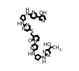 CC(O)c1cnc(N[C@H]2CC[C@H](Nc3ccc(-n4cccc(CSc5cnc(N[C@H]6CC[C@H](Nc7ccc(-c8cnccc8O)cn7)C6)nc5)c4=O)cn3)C2)nc1